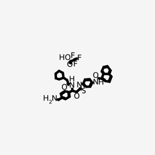 NCc1ccc(C(NC(=O)CC2CCCCC2)C(=O)c2nc3ccc(NC(=O)c4cccc5ccccc45)cc3s2)cc1.O=C(O)C(F)(F)F